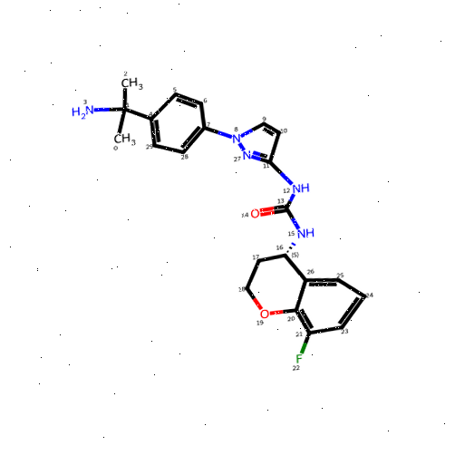 CC(C)(N)c1ccc(-n2ccc(NC(=O)N[C@H]3CCOc4c(F)cccc43)n2)cc1